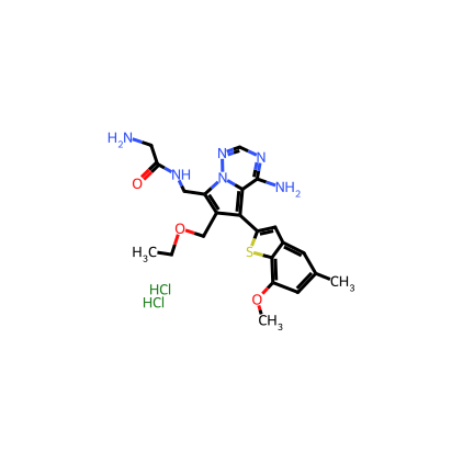 CCOCc1c(-c2cc3cc(C)cc(OC)c3s2)c2c(N)ncnn2c1CNC(=O)CN.Cl.Cl